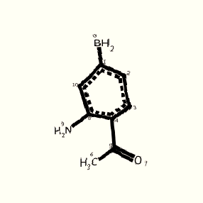 Bc1ccc(C(C)=O)c(N)c1